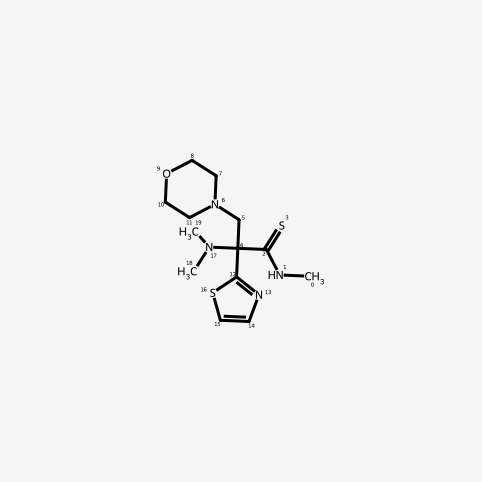 CNC(=S)C(CN1CCOCC1)(c1nccs1)N(C)C